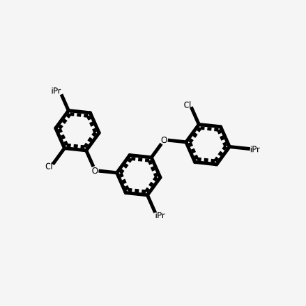 CC(C)c1cc(Oc2ccc(C(C)C)cc2Cl)cc(Oc2ccc(C(C)C)cc2Cl)c1